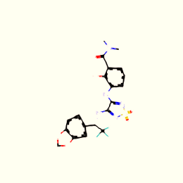 CN(C)C(=O)c1cccc(NC2=NS(=O)(=O)N=C2N[C@@H](c2ccc3c(c2)OCO3)C(F)(F)F)c1O